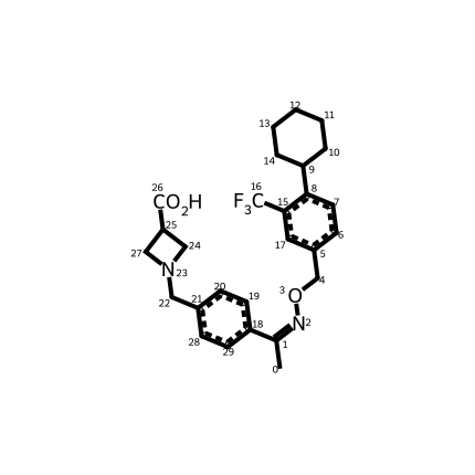 CC(=NOCc1ccc(C2CCCCC2)c(C(F)(F)F)c1)c1ccc(CN2CC(C(=O)O)C2)cc1